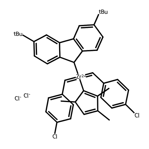 CC1=CC(C)[C]([Zr+2](=[CH]c2ccc(Cl)cc2)(=[CH]c2ccc(Cl)cc2)[CH]2c3ccc(C(C)(C)C)cc3-c3cc(C(C)(C)C)ccc32)=C1C.[Cl-].[Cl-]